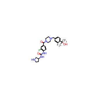 O=C(Nc1ccc(C(=O)N2CCN(Cc3ccc(C(O)(C(F)(F)F)C(F)(F)F)cc3)CC2)cc1F)NC1CCNC1